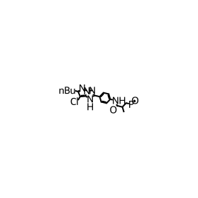 CCCCc1nn2nc(-c3ccc(NC(=O)C(C)CP=O)cc3)[nH]c2c1Cl